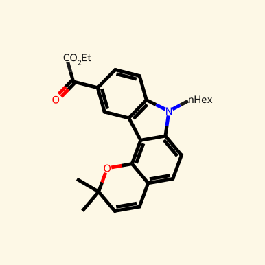 CCCCCCn1c2ccc(C(=O)C(=O)OCC)cc2c2c3c(ccc21)C=CC(C)(C)O3